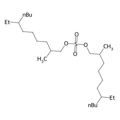 CCCCC(CC)CCCCC(C)COS(=O)(=O)OCC(C)CCCCC(CC)CCCC